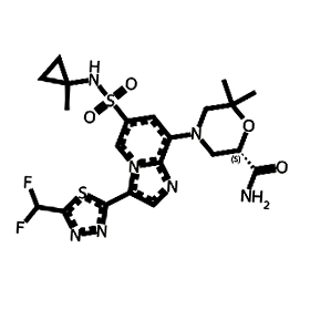 CC1(NS(=O)(=O)c2cc(N3C[C@@H](C(N)=O)OC(C)(C)C3)c3ncc(-c4nnc(C(F)F)s4)n3c2)CC1